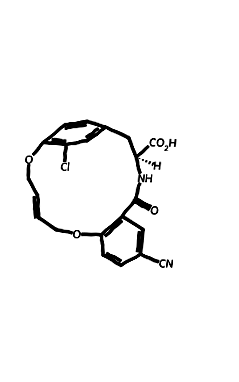 N#Cc1ccc2c(c1)C(=O)N[C@H](C(=O)O)Cc1ccc(c(Cl)c1)OC/C=C/CO2